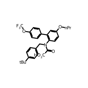 CCCOc1ccc(N(Cc2ccc(C(C)(C)C)cc2)C(=O)C(=O)O)c(-c2ccc(OC(F)(F)F)cc2)c1